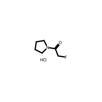 Cl.O=C(CF)N1CCCC1